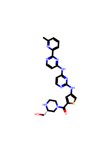 Cc1cccc(-c2nccc(Nc3ccnc(Nc4csc(C(=O)N5CCN[C@@H](CO)C5)c4)n3)n2)n1